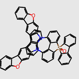 O=S12(c3ccccc3-c3ccccc31)c1cccc(-n3c4ccccc4c4cc5c(cc43)oc3ccccc35)c1-c1c(-n3c4ccccc4c4cc5c(cc43)oc3ccccc35)cccc12